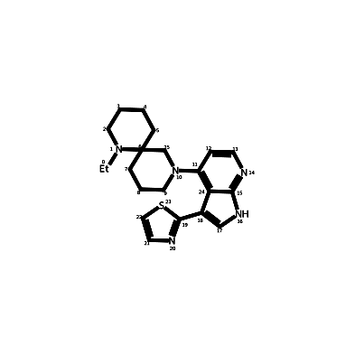 CCN1CCCCC12CCCN(c1ccnc3[nH]cc(-c4nccs4)c13)C2